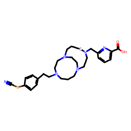 N#CSc1ccc(CCN2CCCN3CCN(CCCN(Cc4cccc(C(=O)O)n4)CC3)CC2)cc1